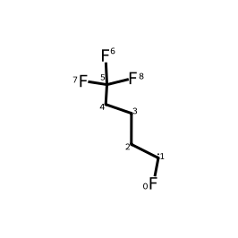 F[CH]CCCC(F)(F)F